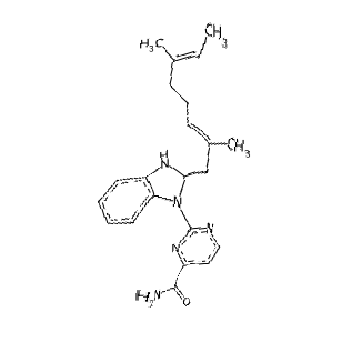 CC=C(C)CCC=C(C)CC1Nc2ccccc2N1c1nccc(C(N)=O)n1